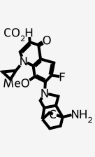 COc1c(N2CC3C4CCC(N)(CC4)C3C2)c(F)cc2c(=O)c(C(=O)O)cn(C3CC3)c12